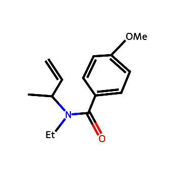 C=CC(C)N(CC)C(=O)c1ccc(OC)cc1